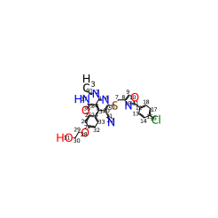 Cc1nc2nc(SCc3coc(-c4ccc(Cl)cc4)n3)c(C#N)c(-c3ccc(OCCO)cc3)c2c(=O)[nH]1